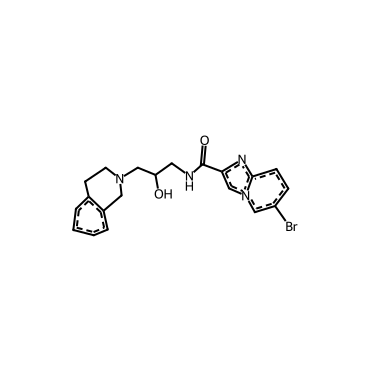 O=C(NCC(O)CN1CCc2ccccc2C1)c1cn2cc(Br)ccc2n1